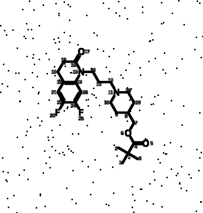 CC(C)(C)C(=O)OCC1CCN(CCCN2C(=O)CCc3cc(F)c(F)cc32)CC1